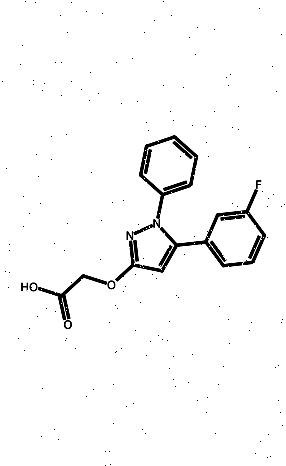 O=C(O)COc1cc(-c2cccc(F)c2)n(-c2ccccc2)n1